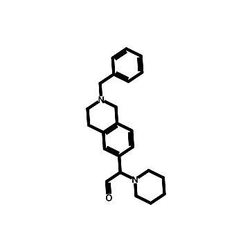 O=CC(c1ccc2c(c1)CCN(Cc1ccccc1)C2)N1CCCCC1